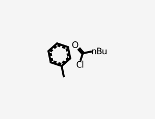 CCCCC(=O)Cl.Cc1ccccc1